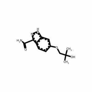 CC(C)(O)COc1ccc2c(C(N)=O)n[nH]c2c1